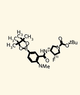 CNc1ccc(B2OC(C)(C)C(C)(C)O2)cc1C(=O)N[C@@H]1CN(C(=O)OC(C)(C)C)C[C@@H]1F